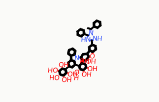 C/C(=N\C(NC(=N)c1ccc2oc3ccc(-n4c5ccccc5c5cc(-c6c(O)c(O)c(O)c(O)c6O)cc(-c6c(O)c(O)c(O)c(O)c6O)c54)cc3c2c1)c1ccccc1)c1ccccc1